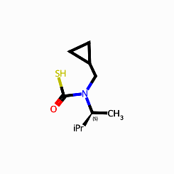 CC(C)[C@H](C)N(CC1CC1)C(=O)S